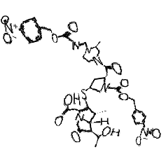 CC(O)[C@H]1C(=O)N2C(C(=O)O)=C(S[C@H]3C[C@@H](C(=O)N4CCN(C=NC(=O)OCc5ccc([N+](=O)[O-])cc5)[C@@H](C)C4)N(C(=O)OCc4ccc([N+](=O)[O-])cc4)C3)[C@H](C)[C@H]12